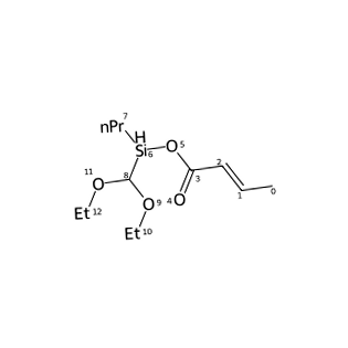 CC=CC(=O)O[SiH](CCC)C(OCC)OCC